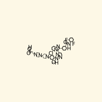 COc1cc(N2CCC(N3CCN(CC[SH](=O)=O)CC3)CC2)c(Cl)cc1Nc1nccc(-c2c(-c3cccc(C(=O)Nc4c(F)cccc4F)c3)nc3ccccn23)n1